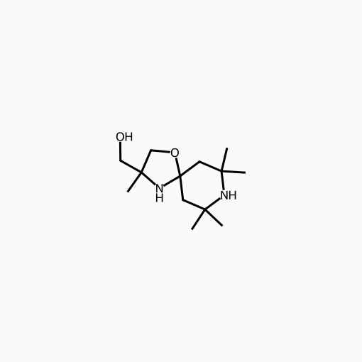 CC1(C)CC2(CC(C)(C)N1)NC(C)(CO)CO2